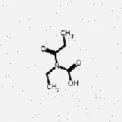 C[CH]C(=O)N(CC)C(=O)O